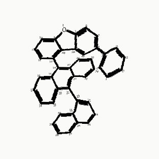 c1ccc(-c2ccc3oc4cccc(-c5c6ccccc6c(-c6cccc7ccccc67)c6ccccc56)c4c3c2)cc1